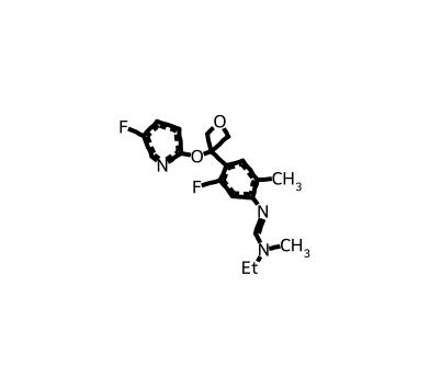 CCN(C)C=Nc1cc(F)c(C2(Oc3ccc(F)cn3)COC2)cc1C